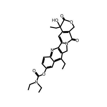 CCc1c2c(nc3ccc(OC(=O)N(CC)CC)cc13)-c1cc3c(c(=O)n1C2)COC(=O)C3(O)CC